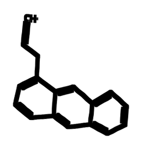 [CH]=CCc1cccc2cc3ccccc3cc12